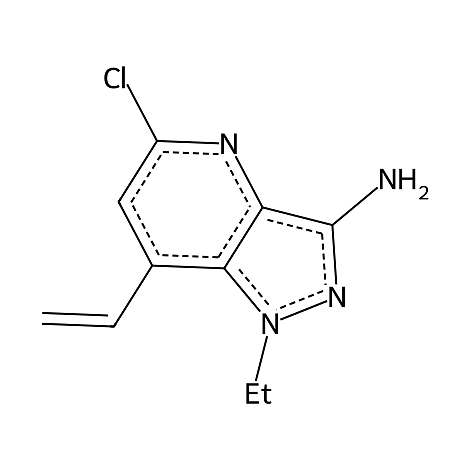 C=Cc1cc(Cl)nc2c(N)nn(CC)c12